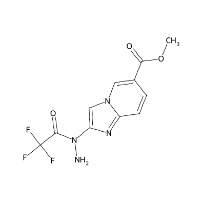 COC(=O)c1ccc2nc(N(N)C(=O)C(F)(F)F)cn2c1